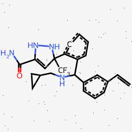 C=Cc1cccc(C(NCC2CC2)c2ccccc2C2(C(F)(F)F)C=C(C(N)=O)NN2)c1